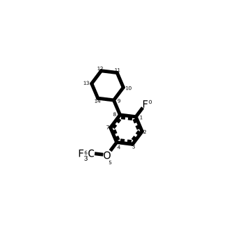 Fc1ccc(OC(F)(F)F)cc1C1CCCCC1